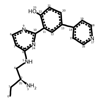 CC[C@H](N)CNc1ccnc(-c2cc(-c3ccncc3)ccc2O)n1